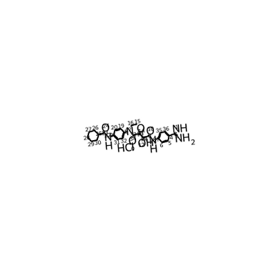 Cl.N=C(N)c1ccc(NC(=O)[C@H](O)[C@H]2OCCN(c3ccc(NC(=O)C4CCCCC4)cc3)C2=O)cc1